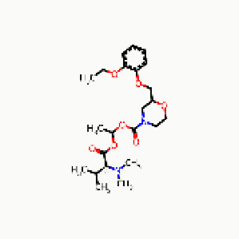 CCOc1ccccc1OCC1CN(C(=O)OC(C)OC(=O)[C@H](C(C)C)N(C)C)CCO1